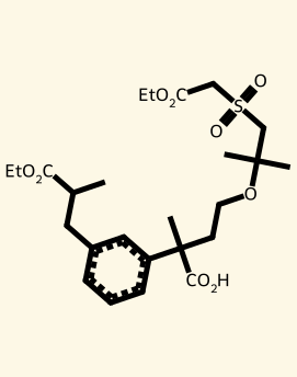 CCOC(=O)CS(=O)(=O)CC(C)(C)OCCC(C)(C(=O)O)c1cccc(CC(C)C(=O)OCC)c1